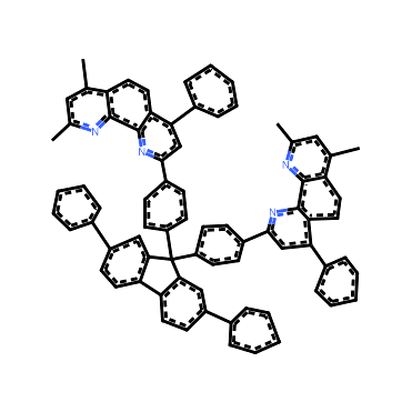 Cc1cc(C)c2ccc3c(-c4ccccc4)cc(-c4ccc(C5(c6ccc(-c7cc(-c8ccccc8)c8ccc9c(C)cc(C)nc9c8n7)cc6)c6cc(-c7ccccc7)ccc6-c6ccc(-c7ccccc7)cc65)cc4)nc3c2n1